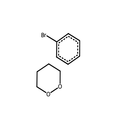 Brc1ccccc1.C1CCOOC1